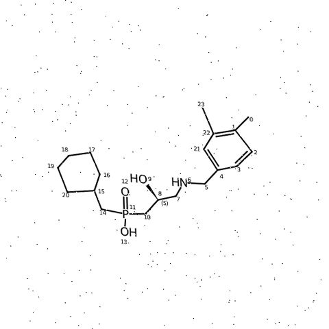 Cc1ccc(CNC[C@H](O)CP(=O)(O)CC2CCCCC2)cc1C